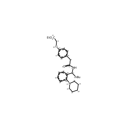 CCCCC(NC(=O)Cc1ccc(OCC(=O)OCC)cc1)c1ccccc1N1CCCCC1